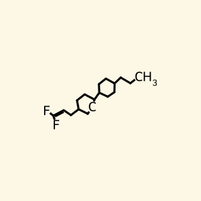 CCCC1CCC(C2CCC(CC=C(F)F)CC2)CC1